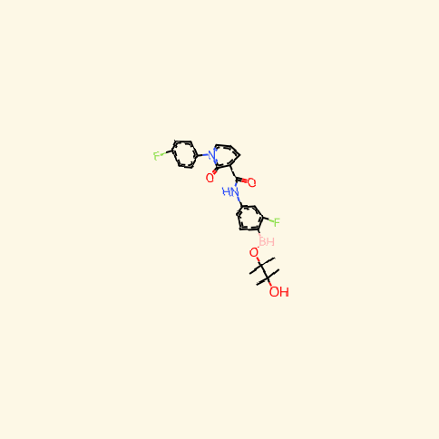 CC(C)(O)C(C)(C)OBc1ccc(NC(=O)c2cccn(-c3ccc(F)cc3)c2=O)cc1F